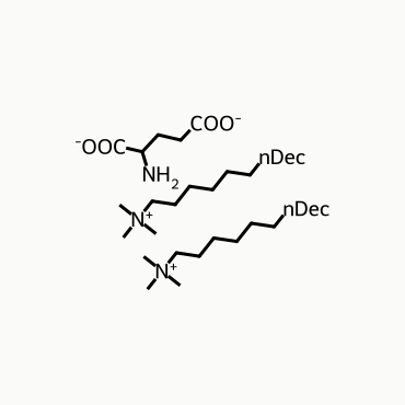 CCCCCCCCCCCCCCCC[N+](C)(C)C.CCCCCCCCCCCCCCCC[N+](C)(C)C.NC(CCC(=O)[O-])C(=O)[O-]